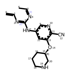 C=C/N=C(\N=C/C)Nc1cnc(C#N)c(O[C@@H]2CCCNC2)c1